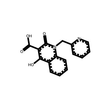 O=C(O)c1c(O)c2ccccc2n(Cc2ccccn2)c1=O